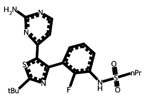 CCCS(=O)(=O)Nc1cccc(-c2nc(C(C)(C)C)sc2-c2ccnc(N)n2)c1F